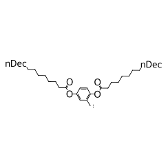 [CH]c1cc(OC(=O)CCCCCCCCCCCCCCCCC)ccc1OC(=O)CCCCCCCCCCCCCCCCC